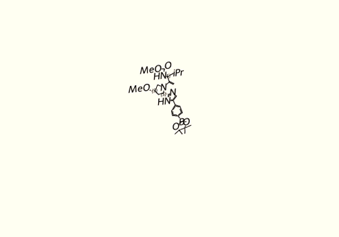 C=C([C@@H](NC(=O)OC)C(C)C)N1C[C@@H](COC)C[C@H]1c1ncc(-c2ccc(B3OC(C)(C)C(C)(C)O3)cc2)[nH]1